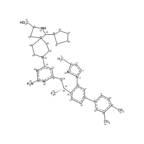 Cc1ccn(-c2cc(-c3ccc(C)c(C)c3)ccc2[C@@H](Oc2cc(N3CCC4(CC3)CC(C(=O)O)NC4C3CCCC3)nc(N)n2)C(F)(F)F)n1